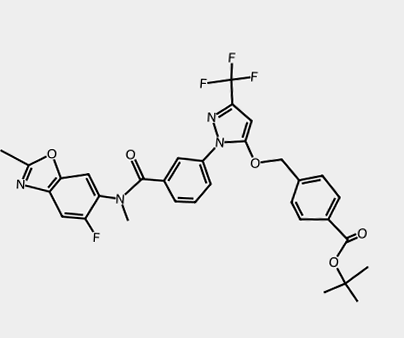 Cc1nc2cc(F)c(N(C)C(=O)c3cccc(-n4nc(C(F)(F)F)cc4OCc4ccc(C(=O)OC(C)(C)C)cc4)c3)cc2o1